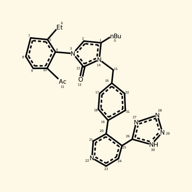 CCCCc1cn(-c2c(CC)cccc2C(C)=O)c(=O)n1Cc1ccc(-c2cnccc2-c2nnn[nH]2)cc1